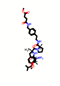 COC(=O)CCC(=O)NCc1ccc(CCNC(=O)[C@]2(C)CCCN2C(=O)[C@@]([SiH3])(Cc2ccc(OC)cc2)NC(=O)[C@@H](N)[C@@H](C)OCC(C)C)cc1